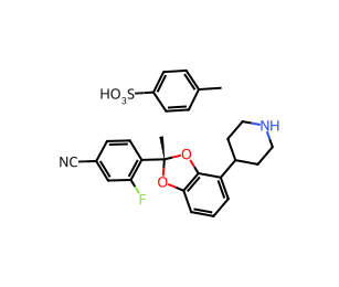 C[C@]1(c2ccc(C#N)cc2F)Oc2cccc(C3CCNCC3)c2O1.Cc1ccc(S(=O)(=O)O)cc1